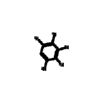 [2H]c1cc([2H])c([2H])c([2H])c1[2H]